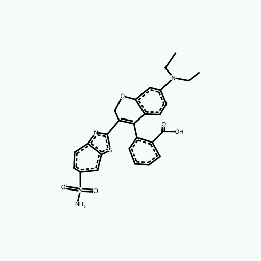 CCN(CC)c1ccc2c(c1)OCC(c1nc3ccc(S(N)(=O)=O)cc3s1)=C2c1ccccc1C(=O)O